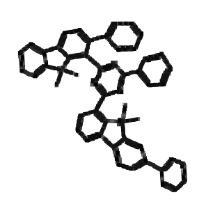 C[Si]1(C)c2cc(-c3ccccc3)ccc2-c2cccc(-c3nc(-c4ccccc4)nc(-c4c(-c5ccccc5)ccc5c4[Si](C)(C)c4ccccc4-5)n3)c21